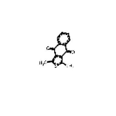 Cc1sc(C)c2c1C(=O)c1ccccc1C2=O